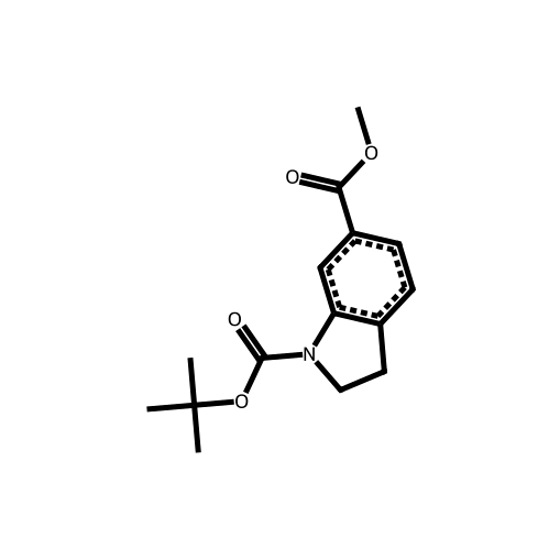 COC(=O)c1ccc2c(c1)N(C(=O)OC(C)(C)C)CC2